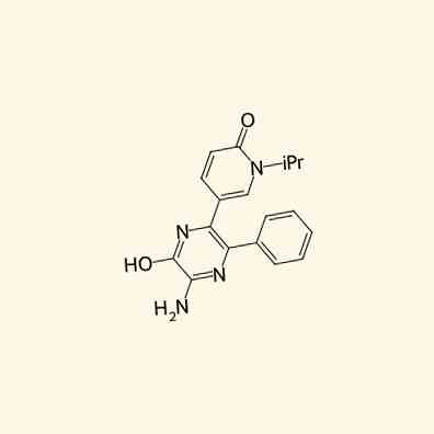 CC(C)n1cc(-c2nc(O)c(N)nc2-c2ccccc2)ccc1=O